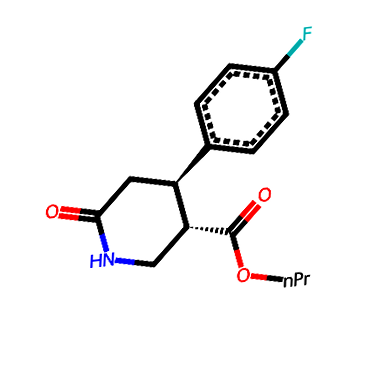 CCCOC(=O)[C@@H]1CNC(=O)C[C@H]1c1ccc(F)cc1